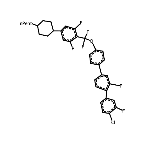 CCCCCC1CCC(c2cc(F)c(C(F)(F)Oc3ccc(-c4ccc(-c5ccc(Cl)c(F)c5)c(F)c4)cc3)c(F)c2)CC1